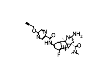 C#CCOc1cnc(C(=O)Nc2cc(F)c(F)c([C@@]3(C)N=C(N)S[C@@]4(C(=O)N(C)C)C[C@H]43)c2)cn1